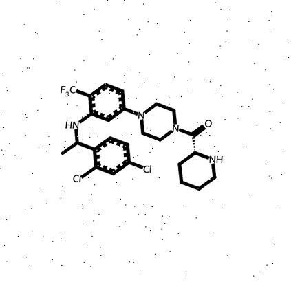 CC(Nc1cc(N2CCN(C(=O)[C@H]3CCCCN3)CC2)ccc1C(F)(F)F)c1ccc(Cl)cc1Cl